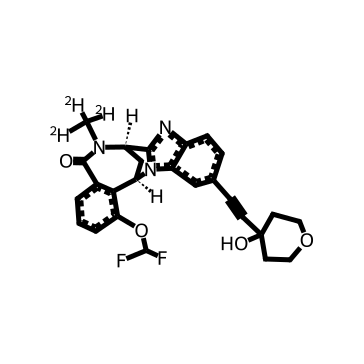 [2H]C([2H])([2H])N1C(=O)c2cccc(OC(F)F)c2[C@H]2C[C@@H]1c1nc3ccc(C#CC4(O)CCOCC4)cc3n12